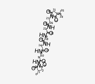 CC1CC(=O)N(NC(=O)CCNC(=O)CNC(=O)CNC(=O)CNC(=O)CCN2C(=O)CC(C(C)C)C2=O)C1=O